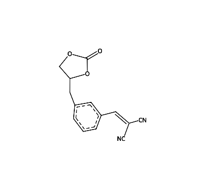 N#CC(C#N)=Cc1cccc(CC2COC(=O)O2)c1